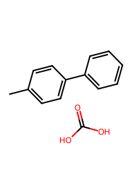 Cc1ccc(-c2ccccc2)cc1.O=C(O)O